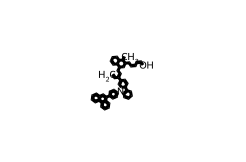 C=C/C(=C\CC1CC(C/C=C\C=C/O)C(C)C2CCC=CC12)C1=CC2C(C=C1)C1=C(C=CCC1)N2c1ccc(-c2cc3ccccc3c3ccccc23)cc1